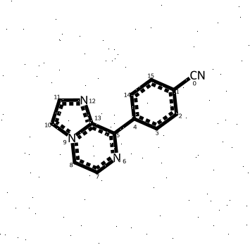 N#Cc1ccc(-c2nccn3ccnc23)cc1